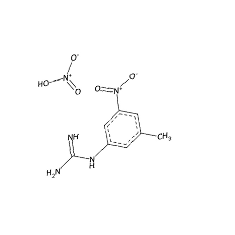 Cc1cc(NC(=N)N)cc([N+](=O)[O-])c1.O=[N+]([O-])O